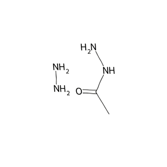 CC(=O)NN.NN